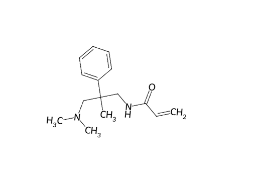 C=CC(=O)NCC(C)(CN(C)C)c1ccccc1